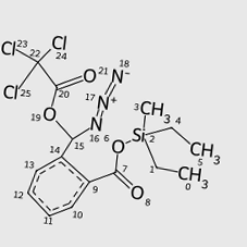 CC[Si](C)(CC)OC(=O)c1ccccc1C(N=[N+]=[N-])OC(=O)C(Cl)(Cl)Cl